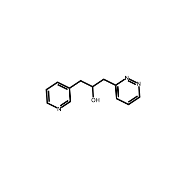 OC(Cc1cccnc1)Cc1cccnn1